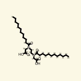 CCCCCCCCCCCC(=O)N(CCN(CC(=O)O)C(=O)CCCCCCCCCCC)CC(=O)O